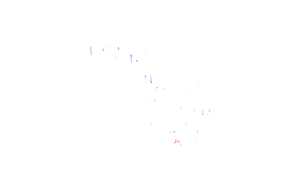 CCOC(=O)N1CCN(C(=O)OC2CCC3(CO3)C(C3(C)OC3CC=C(C)C)C2C)CC1